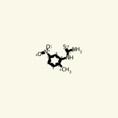 Cc1ccc([N+](=O)[O-])cc1NC(N)=S